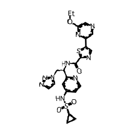 CCOc1cncc(-c2cnc(C(=O)N[C@H](Cn3ccnn3)c3cc(NS(=O)(=O)C4CC4)ccn3)s2)n1